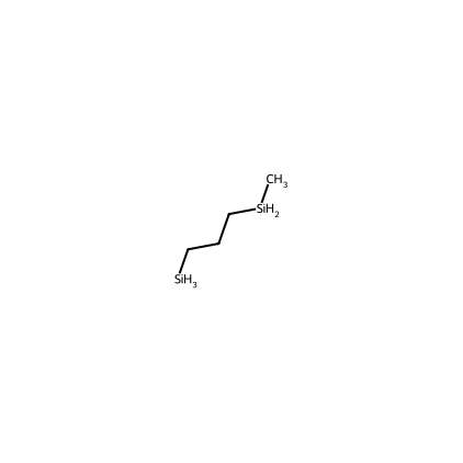 C[SiH2]CCC[SiH3]